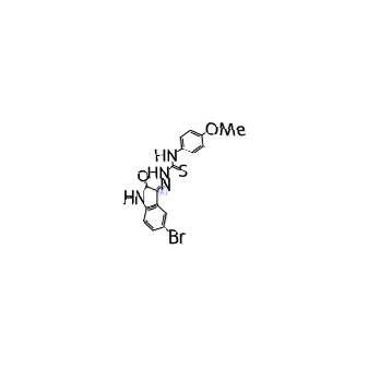 COc1ccc(NC(=S)N/N=C2\C(=O)Nc3ccc(Br)cc32)cc1